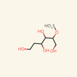 O=S(=O)(O)OC(CO)C(O)C(O)CCO